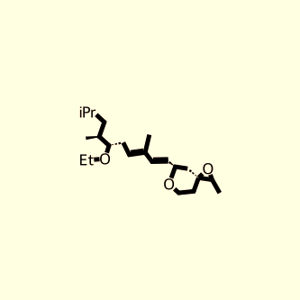 CCO[C@@H](C/C=C(C)/C=C/[C@@H]1C[C@]2(CCO1)OC2C)[C@@H](C)CC(C)C